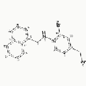 CC(=O)Cc1ccc(NCc2nccc3ccccc23)c(Br)c1